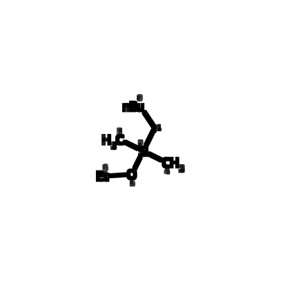 CCCC[CH][Si](C)(C)OCC